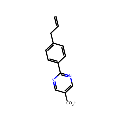 C=CCc1ccc(-c2ncc(C(=O)O)cn2)cc1